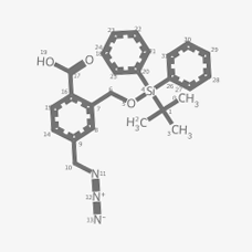 CC(C)(C)[Si](OCc1cc(CN=[N+]=[N-])ccc1C(=O)O)(c1ccccc1)c1ccccc1